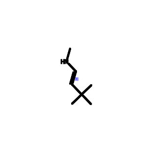 CN/C=C/C(C)(C)C